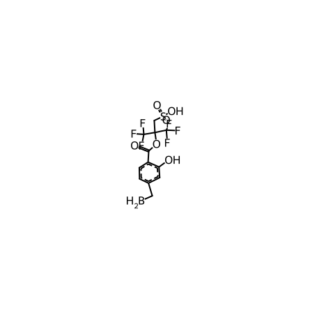 BCc1ccc(C(=O)OC(CS(=O)(=O)O)(C(F)(F)F)C(F)(F)F)c(O)c1